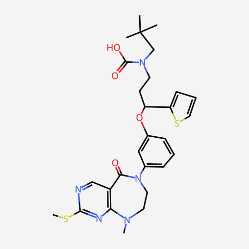 CSc1ncc2c(n1)N(C)CCN(c1cccc(OC(CCN(CC(C)(C)C)C(=O)O)c3cccs3)c1)C2=O